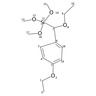 CCOc1ccc(C(OCC)[Si](OC)(OC)OC)cc1